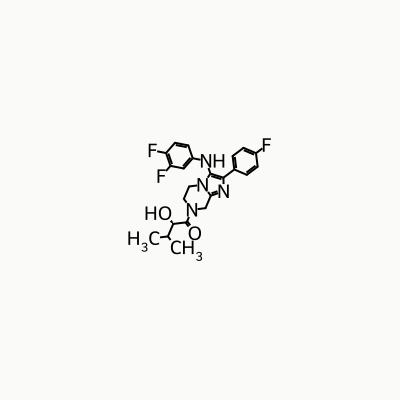 CC(C)[C@@H](O)C(=O)N1CCn2c(nc(-c3ccc(F)cc3)c2Nc2ccc(F)c(F)c2)C1